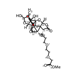 COC(=O)COCCOCCO[C@H]1C(=O)O[C@H]2O[C@]34C(=O)OC5C[C@@H](C(C)(C)C)C21[C@@]53[C@@H](O)[C@@H]1OC(O)C(C)[C@@]14O